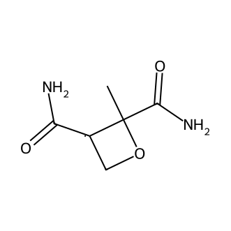 CC1(C(N)=O)OC[C]1C(N)=O